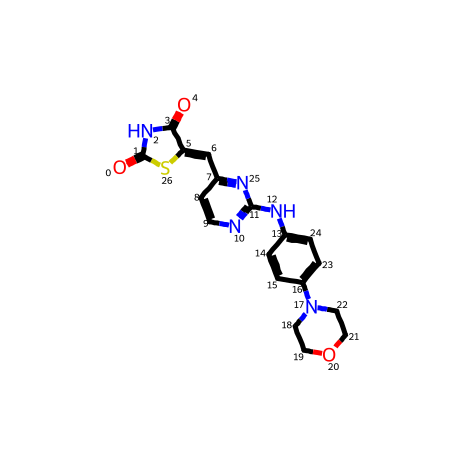 O=C1NC(=O)/C(=C/c2ccnc(Nc3ccc(N4CCOCC4)cc3)n2)S1